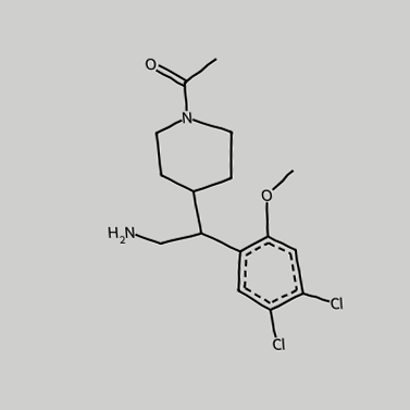 COc1cc(Cl)c(Cl)cc1C(CN)C1CCN(C(C)=O)CC1